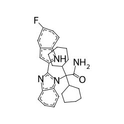 NC(=O)C(C1CCCCC1)(C1CCCCC1)n1c(-c2cc3cc(F)ccc3[nH]2)nc2ccccc21